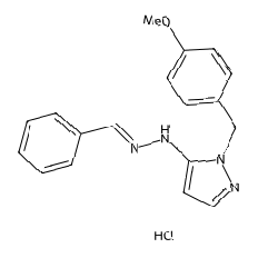 COc1ccc(Cn2nccc2N/N=C/c2ccccc2)cc1.Cl